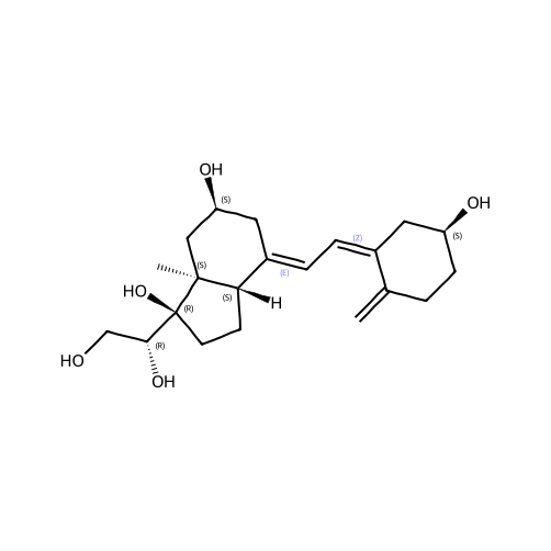 C=C1CC[C@H](O)C/C1=C/C=C1\C[C@H](O)C[C@@]2(C)[C@H]1CC[C@]2(O)[C@H](O)CO